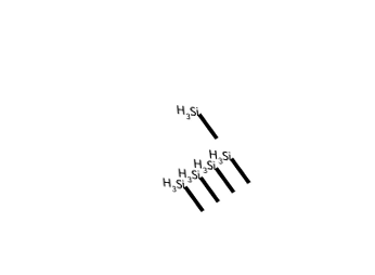 C[SiH3].C[SiH3].C[SiH3].C[SiH3].C[SiH3]